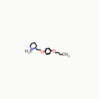 CCCCOc1ccc(OCCC2CCCCN2C)cc1